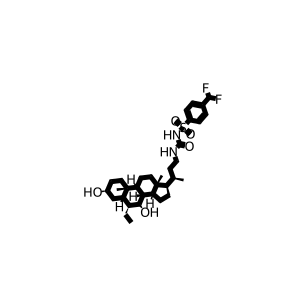 CC[C@H]1[C@@H](O)[C@@H]2[C@H](CC[C@]3(C)[C@@H]([C@H](C)CCNC(=O)NS(=O)(=O)c4ccc(C(F)F)cc4)CC[C@@H]23)[C@@]2(C)CC[C@@H](O)C[C@@H]12